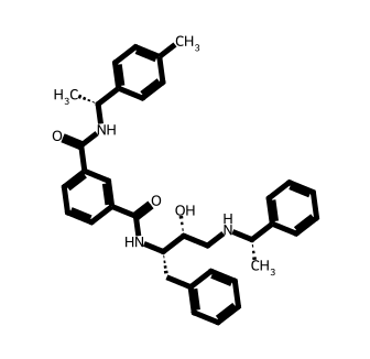 Cc1ccc([C@@H](C)NC(=O)c2cccc(C(=O)N[C@@H](Cc3ccccc3)[C@H](O)CN[C@@H](C)c3ccccc3)c2)cc1